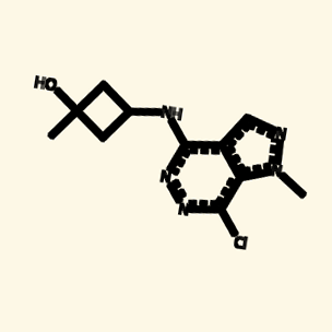 Cn1ncc2c(NC3CC(C)(O)C3)nnc(Cl)c21